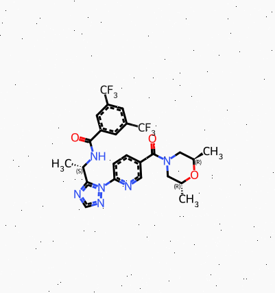 C[C@@H]1CN(C(=O)c2ccc(-n3ncnc3[C@H](C)NC(=O)c3cc(C(F)(F)F)cc(C(F)(F)F)c3)nc2)C[C@@H](C)O1